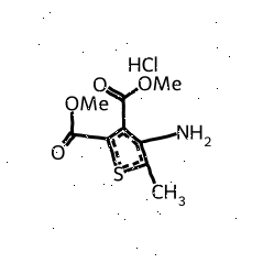 COC(=O)c1sc(C)c(N)c1C(=O)OC.Cl